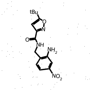 CC(C)(C)c1cc(C(=O)NCc2ccc([N+](=O)[O-])cc2N)no1